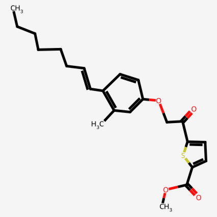 CCCCCC/C=C/c1ccc(OCC(=O)c2ccc(C(=O)OC)s2)cc1C